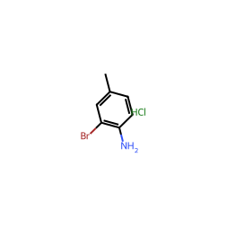 Cc1ccc(N)c(Br)c1.Cl